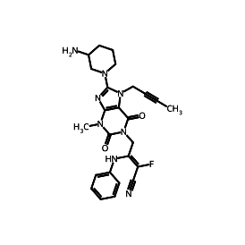 CC#CCn1c(N2CCCC(N)C2)nc2c1c(=O)n(CC(Nc1ccccc1)=C(F)C#N)c(=O)n2C